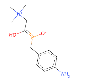 C[N+](C)(C)C/C(O)=[P+](\[O-])Cc1ccc(N)cc1